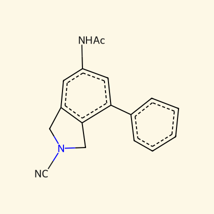 CC(=O)Nc1cc2c(c(-c3ccccc3)c1)CN(C#N)C2